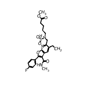 CCc1cc2c(C(=O)NC)c(-c3ccc(F)cc3)oc2nc1CN(CCCCC(=O)OC)[SH](=O)=O